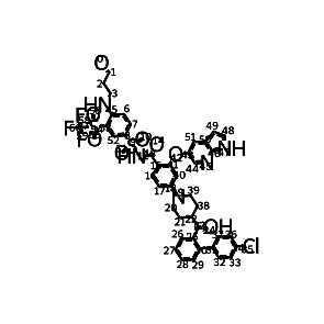 O=CCCNc1ccc(S(=O)(=O)NC(=O)c2ccc(N3CCC([C@H](O)c4ccccc4-c4ccc(Cl)cc4)CC3)cc2Oc2cnc3[nH]ccc3c2)cc1S(=O)(=O)C(F)(F)F